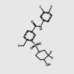 O=C(Nc1ccc(F)c(F)c1)c1ccc(CF)c(S(=O)(=O)N2CCC(O)C(F)(F)C2)c1